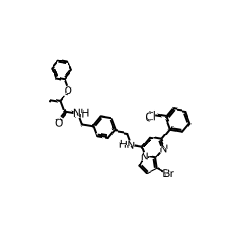 CC(Oc1ccccc1)C(=O)NCc1ccc(CNc2cc(-c3ccccc3Cl)nc3c(Br)ccn23)cc1